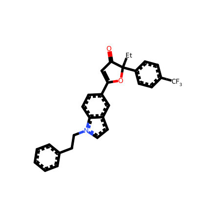 CCC1(c2ccc(C(F)(F)F)cc2)OC(c2ccc3c(ccn3CCc3ccccc3)c2)=CC1=O